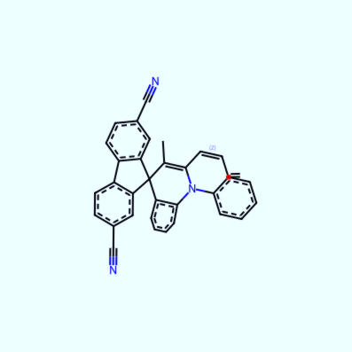 C=C/C=C\C1=C(C)C2(c3cc(C#N)ccc3-c3ccc(C#N)cc32)c2ccccc2N1c1ccccc1